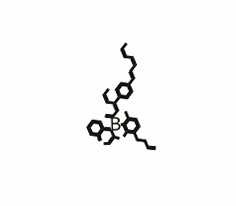 C=CCCc1ccc(C)c(B(C(=C)/C=C(\C=C/C)c2ccc(/C=C/C=C\C=C/C)cc2)C(/C(C)=C\C)=c2\ccccc2=C)c1C